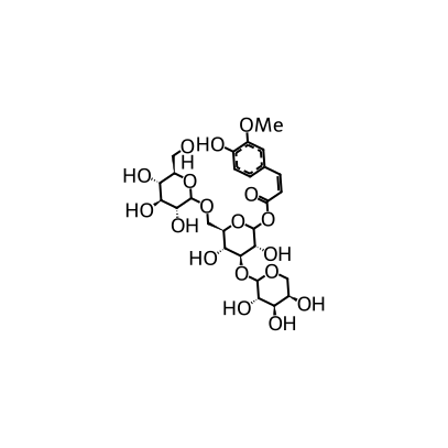 COc1cc(/C=C\C(=O)OC2O[C@H](COC3O[C@H](CO)[C@@H](O)[C@H](O)[C@H]3O)[C@@H](O)[C@H](OC3OC[C@@H](O)[C@@H](O)[C@@H]3O)[C@H]2O)ccc1O